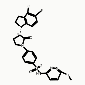 COc1ccc(NS(=O)(=O)c2ccc(N3CC[C@H](N4CCc5c4ccc(F)c5Cl)C3=O)cc2)nn1